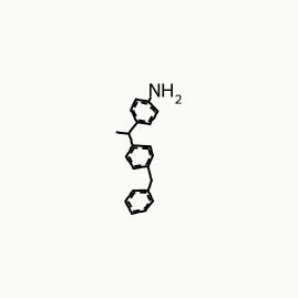 CC(c1ccc(N)cc1)c1ccc(Cc2ccccc2)cc1